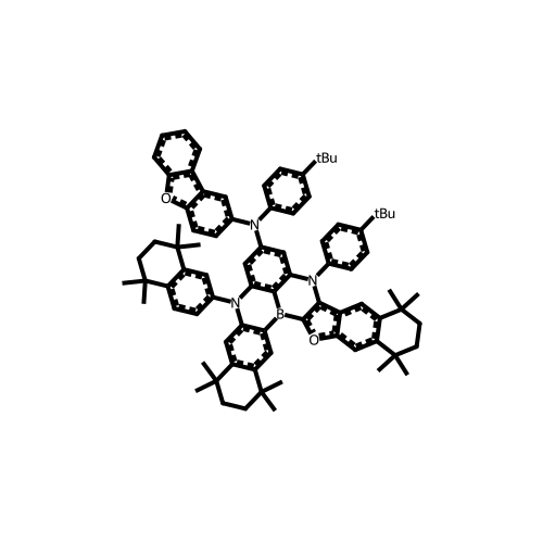 CC(C)(C)c1ccc(N(c2cc3c4c(c2)N(c2ccc(C(C)(C)C)cc2)c2c(oc5cc6c(cc25)C(C)(C)CCC6(C)C)B4c2cc4c(cc2N3c2ccc3c(c2)C(C)(C)CCC3(C)C)C(C)(C)CCC4(C)C)c2ccc3oc4ccccc4c3c2)cc1